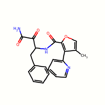 Cc1coc(C(=O)NC(Cc2ccccc2)C(=O)C(N)=O)c1-c1ccccn1